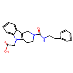 O=C(O)Cn1c2c(c3ccccc31)CN(C(=O)NCCc1ccccc1)CC2